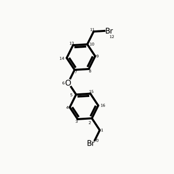 BrCc1ccc(Oc2ccc(CBr)cc2)cc1